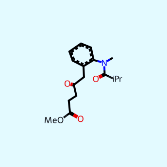 COC(=O)CCC(=O)Cc1ccccc1N(C)C(=O)C(C)C